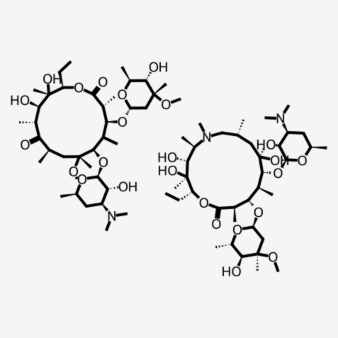 CC[C@H]1OC(=O)[C@H](C)[C@@H](O[C@H]2C[C@@](C)(OC)[C@@H](O)[C@H](C)O2)C(C)[C@@H](O[C@@H]2O[C@H](C)C[C@H](N(C)C)[C@H]2O)[C@](C)(OC)C[C@@H](C)C(=O)[C@H](C)[C@@H](O)[C@]1(C)O.CC[C@H]1OC(=O)[C@H](C)[C@@H](O[C@H]2C[C@@](C)(OC)[C@@H](O)[C@H](C)O2)[C@H](C)[C@@H](O[C@@H]2O[C@H](C)C[C@H](N(C)C)[C@H]2O)[C@](C)(O)C[C@@H](C)CN(C)[C@H](C)[C@@H](O)[C@]1(C)O